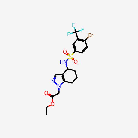 CCOC(=O)Cn1ncc2c1CCCC2NS(=O)(=O)c1ccc(Br)c(C(F)(F)F)c1